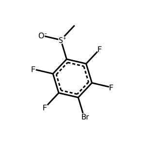 C[S+]([O-])c1c(F)c(F)c(Br)c(F)c1F